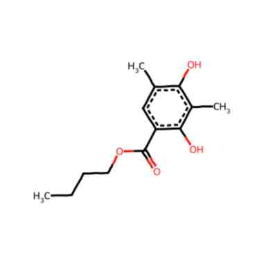 CCCCOC(=O)c1cc(C)c(O)c(C)c1O